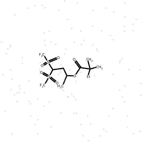 CCC(C)(C)C(=O)OC(C)CC(S(=O)(=O)C(F)(F)F)S(=O)(=O)C(F)(F)F